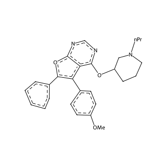 CCCN1CCCC(Oc2ncnc3oc(-c4ccccc4)c(-c4ccc(OC)cc4)c23)C1